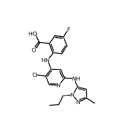 CCCn1nc(C)cc1Nc1cc(Nc2ccc(F)cc2C(=O)O)c(Cl)cn1